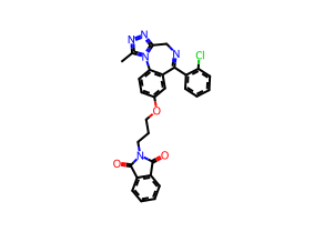 Cc1nnc2n1-c1ccc(OCCCN3C(=O)c4ccccc4C3=O)cc1C(c1ccccc1Cl)=NC2